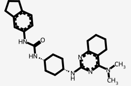 CN(C)c1nc(N[C@H]2CC[C@@H](NC(=O)Nc3ccc4c(c3)CCC4)CC2)nc2c1CCCC2